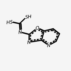 SC(S)=Nc1nc2ncccc2o1